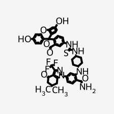 CC1(C)CC(=O)c2c(C(F)(F)F)nn(-c3ccc(C(N)=O)c(N[C@H]4CC[C@H](NC(=S)Nc5ccc6c(c5)C(=O)OC65c6ccc(O)cc6Oc6cc(O)ccc65)CC4)c3)c2C1